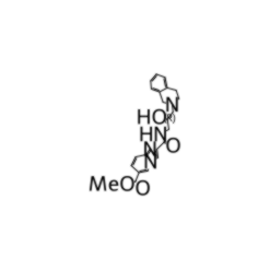 COC(=O)c1ccc2nc(C(=O)NC[C@@H](O)CN3CCc4ccccc4C3)cn2c1